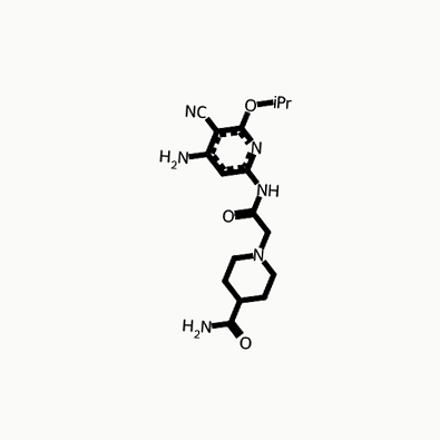 CC(C)Oc1nc(NC(=O)CN2CCC(C(N)=O)CC2)cc(N)c1C#N